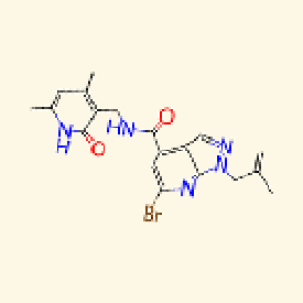 C=C(C)Cn1ncc2c(C(=O)NCc3c(C)cc(C)[nH]c3=O)cc(Br)nc21